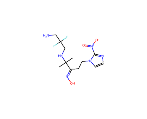 CC(C)(NCC(F)(F)CN)/C(CCn1ccnc1[N+](=O)[O-])=N/O